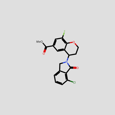 COC(=O)c1cc(F)c2c(c1)C(N1Cc3cccc(Cl)c3C1=O)CCO2